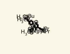 CC(C)[Si](C#Cc1cc(=O)n(C2CCC(CO[Si](C)(C)C(C)(C)C)CC2)c2nc(S(C)(=O)=O)ncc12)(C(C)C)C(C)C